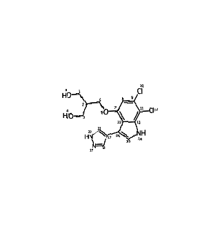 OCC(CO)COc1cc(Cl)c(Cl)c2[nH]cc(-c3cn[nH]c3)c12